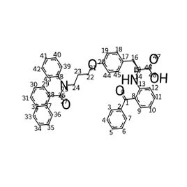 O=C(c1ccccc1)c1ccccc1N[C@@H](Cc1ccc(OCCCN(C(=O)c2cccc3ccccc23)c2ccccc2)cc1)C(=O)O